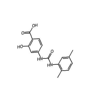 Cc1ccc(C)c(NC(=O)Nc2ccc(C(=O)O)c(O)c2)c1